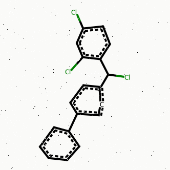 Clc1ccc(C(Cl)c2ccc(-c3ccccc3)cc2)c(Cl)c1